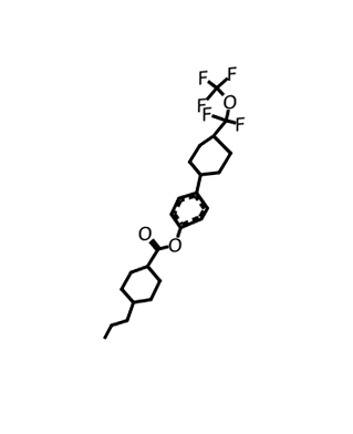 CCCC1CCC(C(=O)Oc2ccc(C3CCC(C(F)(F)OC(F)(F)F)CC3)cc2)CC1